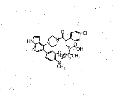 COc1ccc(-c2cnc3[nH]ccc3c2N2CCN(C(=O)C(CN(C(=O)O)C(C)C)c3ccc(Cl)cc3)CC2)cc1OC